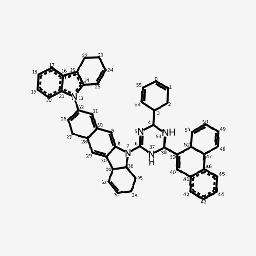 C1=CCC(C2N=C(N3C4=CC5=CC(n6c7c(c8ccccc86)CCC=C7)=CCC5C=C4C4C=CCCC43)NC(C3=Cc4ccccc4C4C=CC=CC34)N2)C=C1